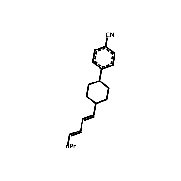 CCCC=CC=CC1CCC(c2ccc(C#N)cc2)CC1